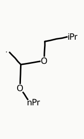 [CH2]C(OCCC)OCC(C)C